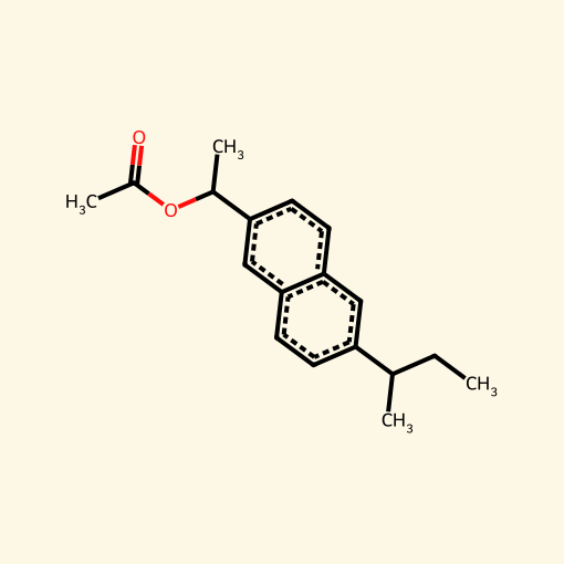 CCC(C)c1ccc2cc(C(C)OC(C)=O)ccc2c1